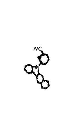 N#Cc1cccc(-n2c3ccccc3c3cc4ccccc4cc32)c1